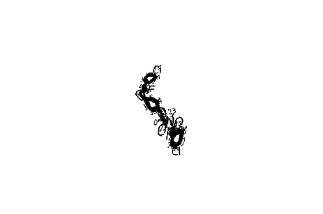 C[C@@H](Oc1ccc(OC(F)=Cc2ccc(Cl)cc2)cc1)C(=O)N(C)c1nc2cc(Cl)ccc2o1